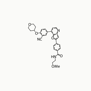 COCCNC(=O)c1ccc(-c2cc3nccc(-c4ccc(OC5CCOCC5)c(C#N)c4)c3o2)cc1